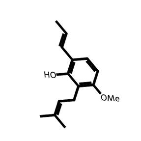 C/C=C/c1ccc(OC)c(CC=C(C)C)c1O